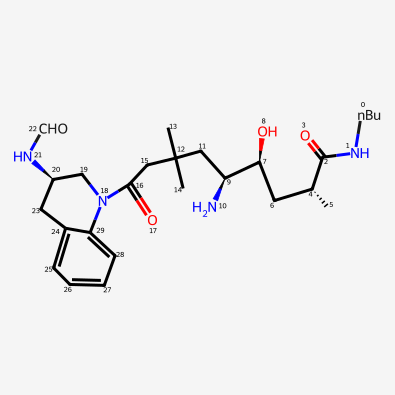 CCCCNC(=O)[C@H](C)C[C@H](O)[C@@H](N)CC(C)(C)CC(=O)N1C[C@H](NC=O)Cc2ccccc21